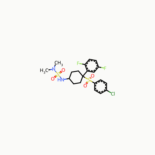 CN(C)S(=O)(=O)NC1CCC(c2cc(F)ccc2F)(S(=O)(=O)c2ccc(Cl)cc2)CC1